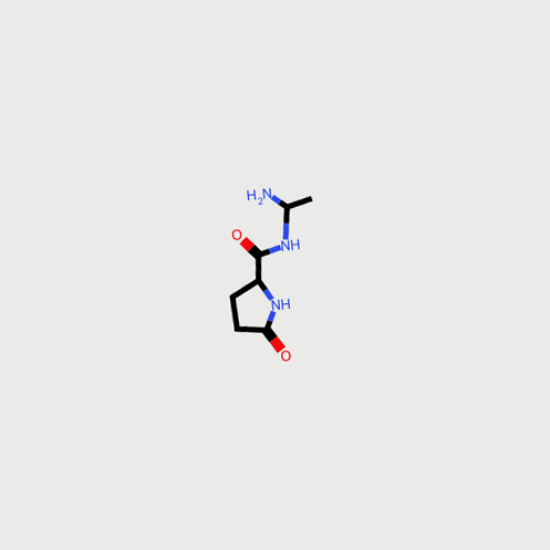 CC(N)NC(=O)C1CCC(=O)N1